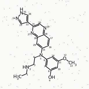 CCNCCN(c1cc(O)cc(OC)c1)c1ccc2ncc(-c3cn[nH]c3)nc2c1